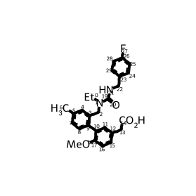 CCN(Cc1cc(C)ccc1-c1cc(CC(=O)O)ccc1OC)C(=O)NCc1ccc(F)cc1